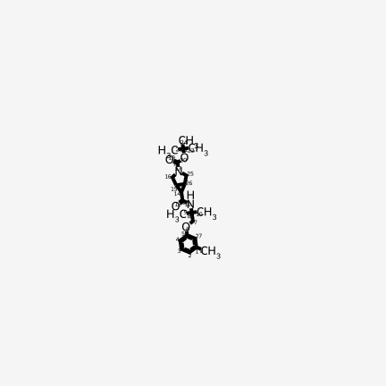 Cc1cccc(OCC(C)(C)NC(=O)C2C3CN(C(=O)OC(C)(C)C)CC32)c1